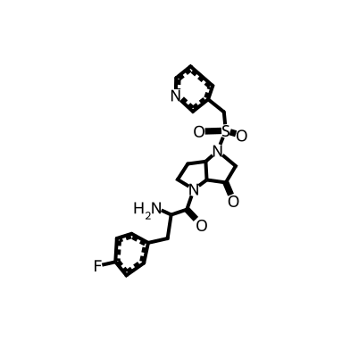 NC(Cc1ccc(F)cc1)C(=O)N1CCC2C1C(=O)CN2S(=O)(=O)Cc1cccnc1